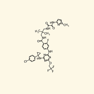 Cn1ccc(NC(=O)C(=O)NCC(C)(C)CNC(=O)c2ccc(Nc3nc(NC4(c5ccc(Cl)cc5)CC4)nc(OCC(F)(F)F)n3)cc2F)n1